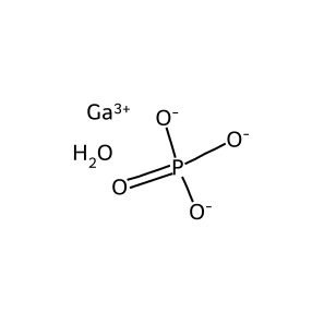 O.O=P([O-])([O-])[O-].[Ga+3]